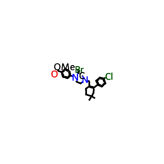 COC(=O)c1ccc(N2CCN(CC3=C(c4ccc(Cl)cc4)CC(C)(C)CC3)CC2Br)cc1